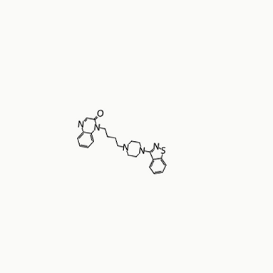 O=c1cnc2ccccc2n1CCCCN1CCN(c2nsc3ccccc23)CC1